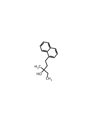 [CH2]C(O)(CC)CCc1cccc2ccccc12